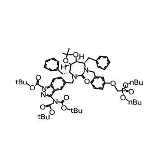 CCCCOP(=O)(COc1cccc(CN2C(=O)N(Cc3ccc4c(c3)c(N(C(=O)OC(C)(C)C)C(=O)OC(C)(C)C)nn4C(=O)OC(C)(C)C)[C@H](Cc3ccccc3)[C@@H]3OC(C)(C)O[C@H]3[C@H]2Cc2ccccc2)c1)OCCCC